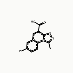 Cc1nnc2c(C(=O)O)cc3cc(Cl)ccc3n12